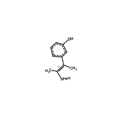 CCCCC/C(C)=C(\C)c1cccc(O)c1